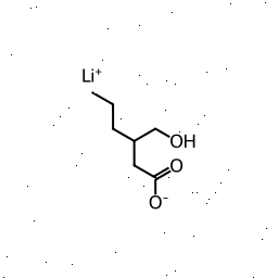 CCCC(CO)CC(=O)[O-].[Li+]